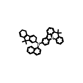 CC1(C)C2=CC(N(c3ccc4c(c3)c3cccc5c3n4-c3ccccc3C5(C)C)c3cccc4ccccc34)CC=C2C2=C1C=CCC2